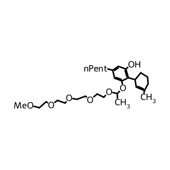 CCCCCc1cc(O)c(C2C=C(C)CCC2)c(OC(C)OCCOCCOCCOCCOC)c1